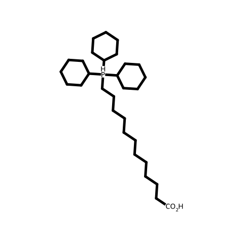 O=C(O)CCCCCCCCCCC[PH](C1CCCCC1)(C1CCCCC1)C1CCCCC1